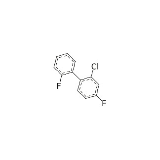 Fc1ccc(-c2ccccc2F)c(Cl)c1